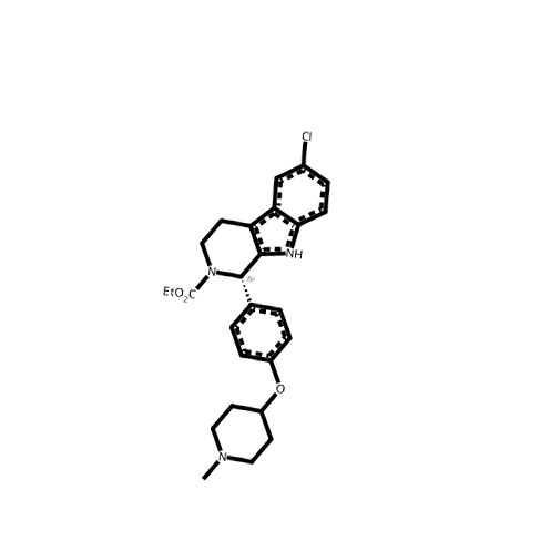 CCOC(=O)N1CCc2c([nH]c3ccc(Cl)cc23)[C@@H]1c1ccc(OC2CCN(C)CC2)cc1